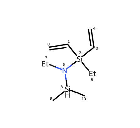 C=C[Si](C=C)(CC)N(CC)[SiH](C)C